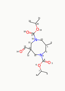 CC1CN(C(=O)OC(C)C)CC(C)(C=O)CN(C(=O)OC(C)C)C1